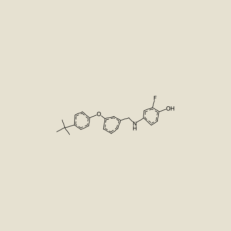 CC(C)(C)c1ccc(Oc2cccc(CNc3ccc(O)c(F)c3)c2)cc1